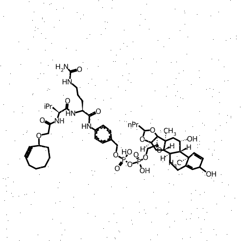 CCCC1O[C@@H]2C[C@H]3[C@@H]4CCC5=CC(O)C=C[C@]5(C)[C@H]4[C@@H](O)C[C@]3(C)[C@]2(C(=O)COP(=O)(O)OP(=O)(O)OCc2ccc(NC(=O)[C@H](CCCNC(N)=O)NC(=O)[C@@H](NC(=O)COC3C#CCCCCC3)C(C)C)cc2)O1